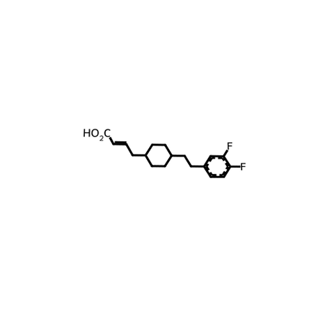 O=C(O)/C=C/CC1CCC(CCc2ccc(F)c(F)c2)CC1